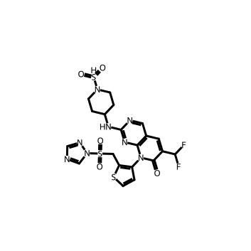 O=c1c(C(F)F)cc2cnc(NC3CCN([SH](=O)=O)CC3)nc2n1-c1ccsc1CS(=O)(=O)n1cncn1